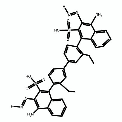 [H]/N=N/c1c(S(=O)(=O)O)c(-c2ccc(-c3ccc(-c4c(S(=O)(=O)O)c(/N=N/[H])c(N)c5ccccc45)c(CC)c3)cc2CC)c2ccccc2c1N